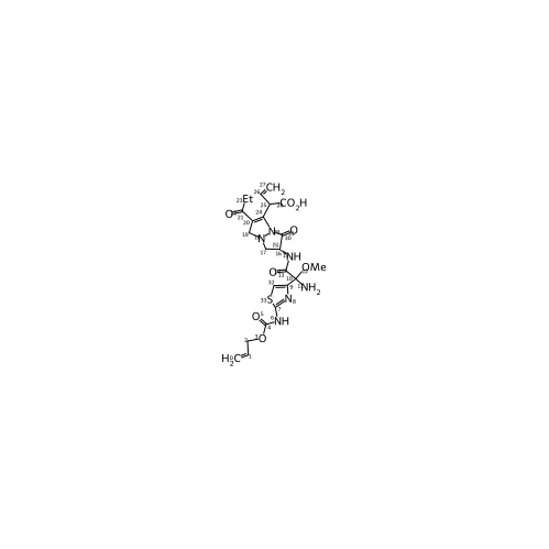 C=CCOC(=O)Nc1nc(C(N)(OC)C(=O)N[C@H]2CN3CC(C(=O)CC)=C(C(C=C)C(=O)O)N3C2=O)cs1